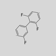 Fc1[c]ccc(-c2c(F)c[c]cc2F)c1